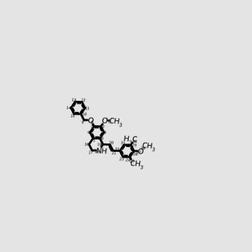 COc1cc2c(cc1OCc1ccccc1)CCNC2/C=C/c1cc(C)c(OC)c(C)c1